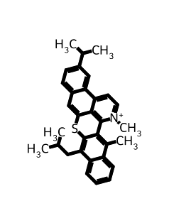 Cc1c2c(c(CC(C)C)c3ccccc13)Sc1cc3ccc(C(C)C)cc3c3cc[n+](C)c-2c13